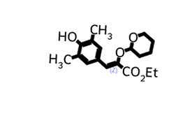 CCOC(=O)/C(=C/c1cc(C)c(O)c(C)c1)OC1CCCCO1